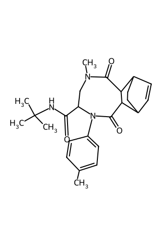 Cc1ccc(N2C(=O)C3C4C=CC(CC4)C3C(=O)N(C)CC2C(=O)NC(C)(C)C)cc1